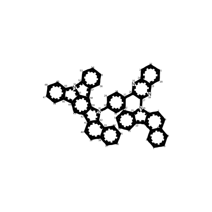 c1ccc2c(c1)ccc1c2c2ccccc2n1-c1nc2ccccc2nc1-c1ccc(-n2c3c4ccccc4ccc3c3cc4c5ccccc5n5c6ccccc6c(c32)c45)cc1